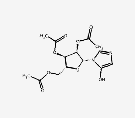 CC(=O)OC[C@H]1O[C@@H](n2cncc2O)[C@H](OC(C)=O)[C@@H]1OC(C)=O